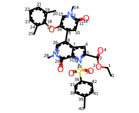 CCOC(=O)c1cc2c(-c3cc(=O)n(C)cc3Oc3c(C)cccc3C)cn(C)c(=O)c2n1S(=O)(=O)c1ccc(C)cc1